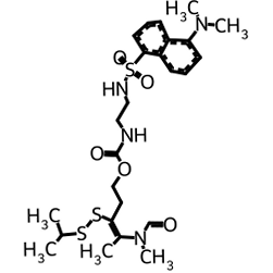 CC(=C(CCOC(=O)NCCNS(=O)(=O)c1cccc2c(N(C)C)cccc12)SSC(C)C)N(C)C=O